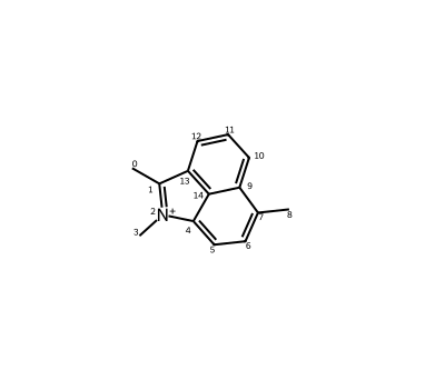 CC1=[N+](C)c2ccc(C)c3cccc1c23